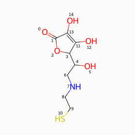 O=C1OC(C(O)CNCCS)C(O)=C1O